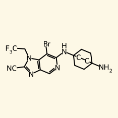 N#Cc1nc2cnc(NC34CCC(N)(CC3)CC4)c(Br)c2n1CC(F)(F)F